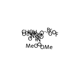 COc1cc(CN(C(=O)C2=C(c3ccc(CCCOc4cc(F)ccc4Br)cc3)C[C@H]3CN(C(=O)[C@@H]4C[C@@H](OC=O)CN4)C[C@@H]2N3)C2CC2)cc(OC)c1